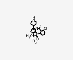 CC1(C)C(=O)N(c2cccc(Cl)c2C(N)=O)c2cc(C3CCNCC3)cnc21